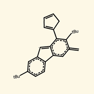 C=c1cc2c(c(C3=CC=CC3)c1C(C)(C)C)=[C]c1cc(C(C)(C)C)ccc1-2